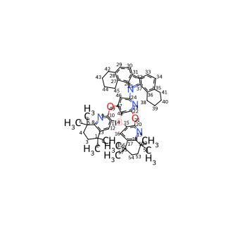 CC1(C)CCC(C)(C)c2nc3c(cc21)B1c2cc4c(nc2Oc2nc(-n5c6c7c(ccc6c6ccc8c(c65)CCCC8)CCCC7)cc(c21)O3)C(C)(C)CCC4(C)C